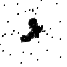 N#Cc1c(-c2ccc(Oc3ccccc3)cc2)cc(C2CCC3(CC2)OCCO3)[nH]c1=O